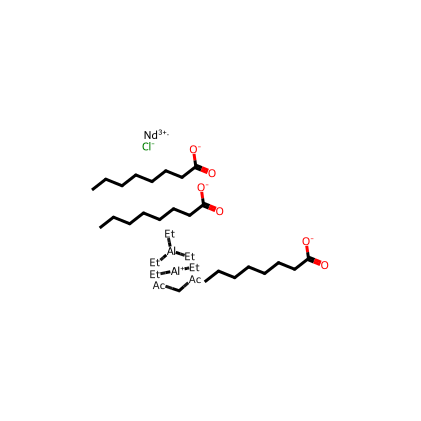 CC(=O)CC(C)=O.CCCCCCCC(=O)[O-].CCCCCCCC(=O)[O-].CCCCCCCC(=O)[O-].C[CH2][Al+][CH2]C.C[CH2][Al]([CH2]C)[CH2]C.[Cl-].[Nd+3]